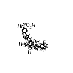 O=C(O)NC1CCC(c2cc(C[C@H]3O[C@H](CO)[C@H](O)[C@H](n4cc(-c5cc(F)c(F)c(F)c5)nn4)[C@H]3O)no2)CC1